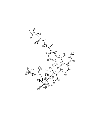 CC(OCC(=O)OC(C)(C)C)c1ccc([C@H]2C[C@@]3(C)C(CC[C@@]3(OCC(=O)OC(C)(C)C)C(F)(F)C(F)(F)F)C3CCC4=CC(=O)CCC4=C32)cc1